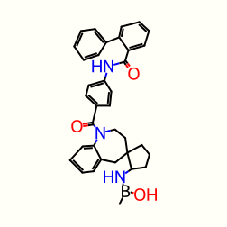 CB(O)NC1CCCC12CCN(C(=O)c1ccc(NC(=O)c3ccccc3-c3ccccc3)cc1)c1ccccc1C2